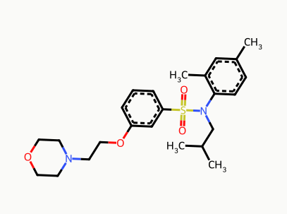 Cc1ccc(N(CC(C)C)S(=O)(=O)c2cccc(OCCN3CCOCC3)c2)c(C)c1